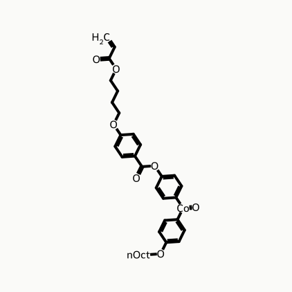 C=CC(=O)OCCCCOc1ccc(C(=O)Oc2cc[c]([Co](=[O])[c]3ccc(OCCCCCCCC)cc3)cc2)cc1